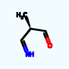 C[C@@H](C=N)C=O